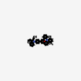 C#Cc1c(/C=C\C)c2ccccc2n1-c1ccc(-c2cccc(-c3cccc(C#N)c3N3c4c(C#N)cccc4C4(C)C=CC=CC34)c2)cc1